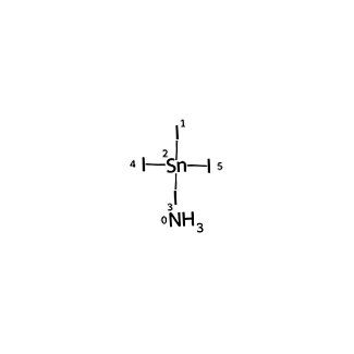 N.[I][Sn]([I])([I])[I]